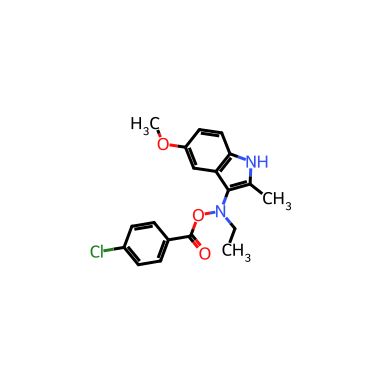 CCN(OC(=O)c1ccc(Cl)cc1)c1c(C)[nH]c2ccc(OC)cc12